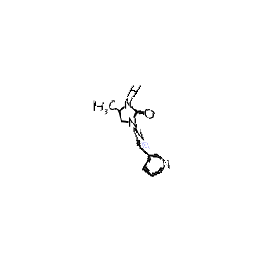 CC1CN(/N=C/c2cccnc2)C(=O)N1